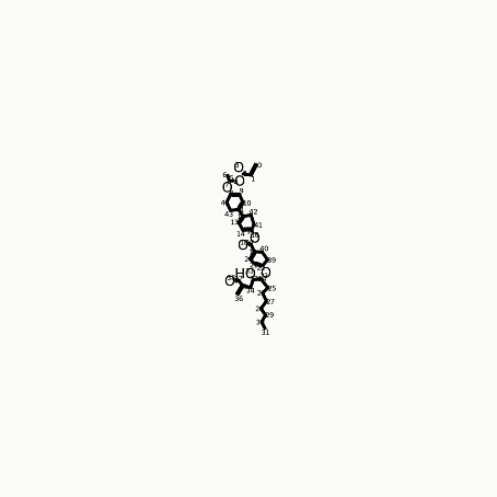 C=CC(=O)OC(C)OC1=CC=C(C2=CC=C(OC(=O)C3=CC=C(OC(CCCCCCC)C(O)CC(=C)C=O)CC3)CC2)CC1